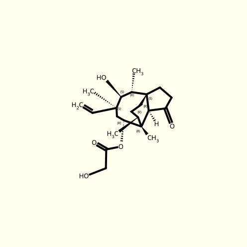 C=C[C@]1(C)C[C@@H](OC(=O)CO)[C@]2(C)[C@H](C)CC[C@]3(CCC(=O)[C@H]32)[C@@H](C)[C@@H]1O